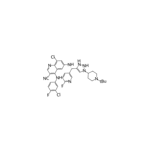 CC(C)(C)N1CCC(N2C=C([C@@H](Nc3cc(Cl)c4ncc(C#N)c(Nc5ccc(F)c(Cl)c5)c4c3)c3ccc(F)nc3)NN2)CC1